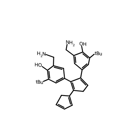 CC(C)(C)c1cc(C2=CCC(C3=CC=CC3)=C2c2cc(CN)c(O)c(C(C)(C)C)c2)cc(CN)c1O